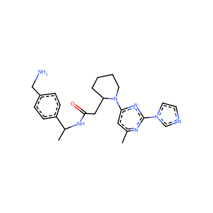 Cc1cc(N2CCCCC2CC(=O)NC(C)c2ccc(CN)cc2)nc(-n2ccnc2)n1